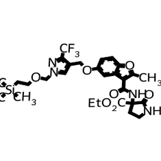 CCOC(=O)C1(NC(=O)c2c(C)oc3ccc(OCc4cn(COCC[Si](C)(C)C)nc4C(F)(F)F)cc23)CCNC1=O